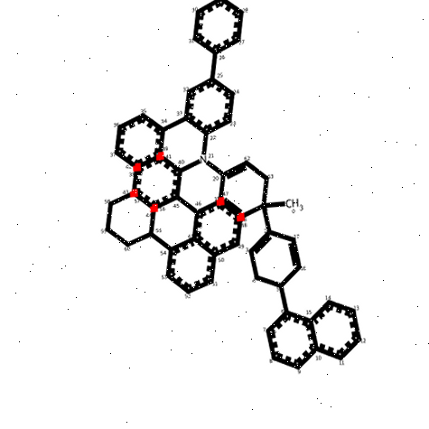 CC1(C2=CCC(c3cccc4ccccc34)C=C2)C=CC(N(c2ccc(-c3ccccc3)cc2-c2ccccc2)c2ccccc2-c2cccc3cccc(C4CCCCC4)c23)=CC1